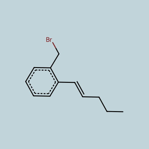 CCCC=Cc1ccccc1CBr